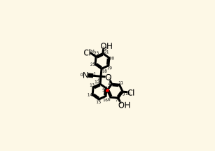 N#CC(Oc1ccc(O)c(Cl)c1)(c1ccccc1)c1ccc(O)c(Cl)c1